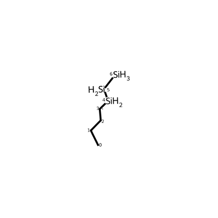 CCC[CH][SiH2][SiH2][SiH3]